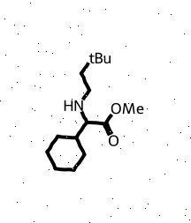 COC(=O)C(NCCC(C)(C)C)C1CCCCC1